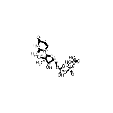 C=C1NC(=O)C=CN1[C@@H]1O[C@H](COP(=O)(O)OP(=O)(O)OP(=O)(O)O)[C@@H](O)[C@@]1(C)Cl